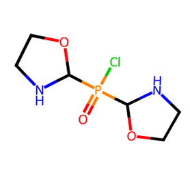 O=P(Cl)(C1NCCO1)C1NCCO1